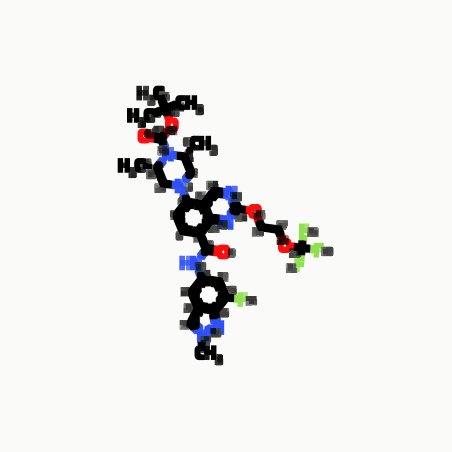 C[C@@H]1CN(c2ccc(C(=O)Nc3cc(F)c4nn(C)cc4c3)c3nc(OCCOC(F)(F)F)ncc23)C[C@H](C)N1C(=O)OC(C)(C)C